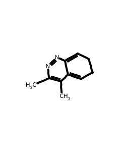 Cc1nnc2c(c1C)=CCCC=2